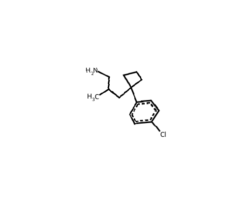 CC(CN)CC1(c2ccc(Cl)cc2)CCC1